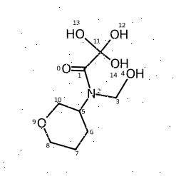 O=C(N(CO)C1CCCOC1)C(O)(O)O